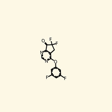 O=C1c2ncnc(Oc3cc(F)cc(F)c3)c2CC1(F)F